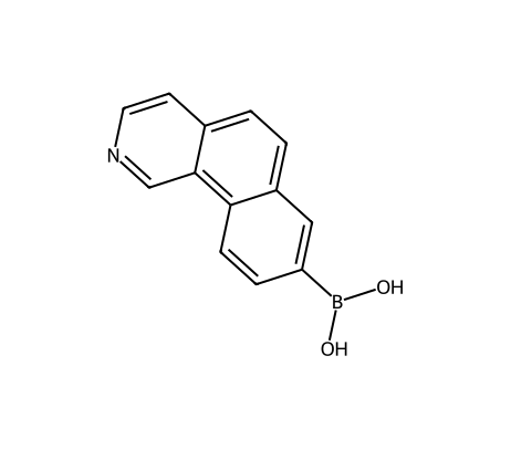 OB(O)c1ccc2c(ccc3ccncc32)c1